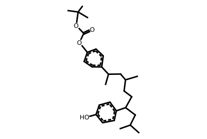 CC(C)CC(CCC(C)CC(C)c1ccc(OC(=O)OC(C)(C)C)cc1)c1ccc(O)cc1